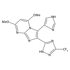 COc1cc(OC)n2c(-c3c[nH]cn3)c(-c3nc(C(F)(F)F)n[nH]3)nc2n1